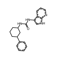 O=C(Nc1c[nH]c2ncccc12)NC1CCCC(c2ccccc2)C1